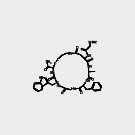 CC(=O)NCC(=O)NC1CC(=O)NCCCCC(C(N)=O)NC(=O)[C@H](Cc2c[nH]c3ccccc23)NC(=O)CNC(=O)C(Cc2ccccc2)NC(=O)C(C)NC1=O